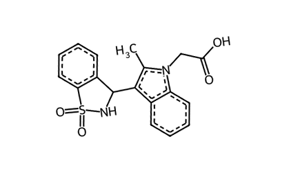 Cc1c(C2NS(=O)(=O)c3ccccc32)c2ccccc2n1CC(=O)O